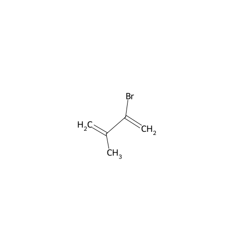 C=C(C)C(=C)Br